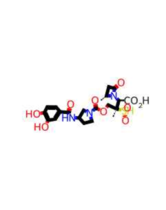 C[C@@H]1CC(=O)N1[C@@H](C(=O)O)[C@](C)(COC(=O)N1CCC(NC(=O)c2ccc(O)c(O)c2)C1)[SH](=O)=O